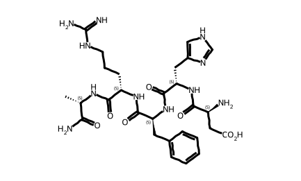 C[C@H](NC(=O)[C@H](CCCNC(=N)N)NC(=O)[C@H](Cc1ccccc1)NC(=O)[C@H](Cc1c[nH]cn1)NC(=O)[C@@H](N)CC(=O)O)C(N)=O